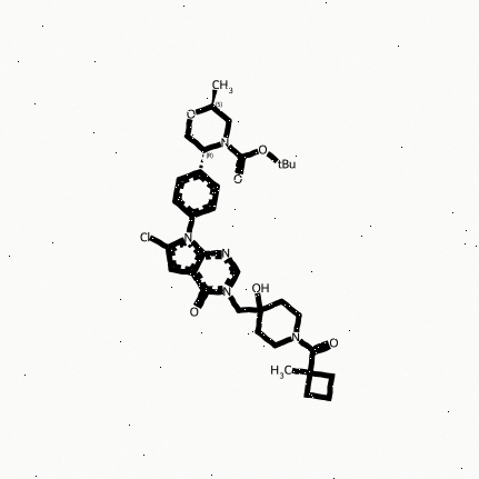 C[C@H]1CN(C(=O)OC(C)(C)C)[C@H](c2ccc(-n3c(Cl)cc4c(=O)n(CC5(O)CCN(C(=O)C6(C)CCC6)CC5)cnc43)cc2)CO1